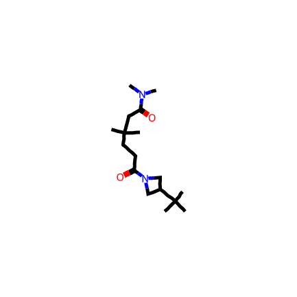 CN(C)C(=O)CC(C)(C)CCC(=O)N1CC(C(C)(C)C)C1